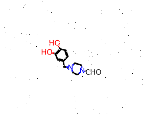 O=CN1CCN(Cc2ccc(O)c(O)c2)CC1